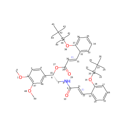 COc1ccc([C@@H](CNC(=O)/C=C/c2ccccc2O[Si](C)(C)C(C)(C)C)OC(=O)/C=C/c2ccccc2O[Si](C)(C)C(C)(C)C)cc1OC